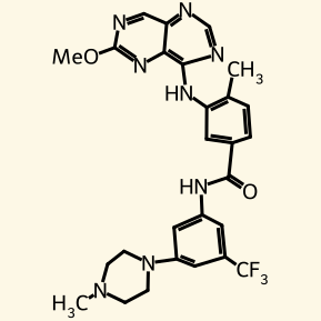 COc1ncc2ncnc(Nc3cc(C(=O)Nc4cc(N5CCN(C)CC5)cc(C(F)(F)F)c4)ccc3C)c2n1